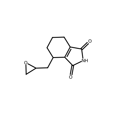 O=C1NC(=O)C2=C1CCCC2CC1CO1